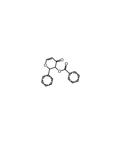 O=C(OC1C(=O)C=COC1c1ccccc1)c1ccccc1